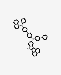 c1ccc(-c2ccc(N(c3ccc(-c4ccc(N(c5ccccc5)c5cccc6ccccc56)cc4)cc3)c3ccc4[nH]c5c(c4c3)-c3cccc4cccc-5c34)cc2)cc1